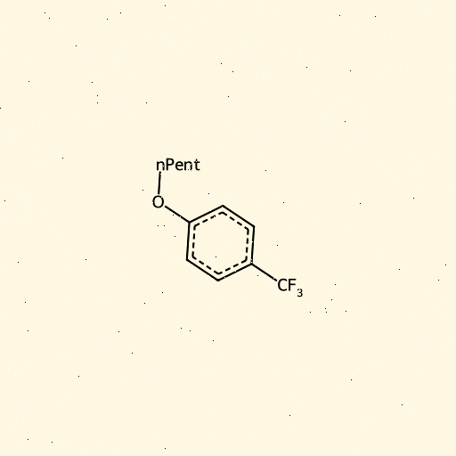 CCCCCOc1ccc(C(F)(F)F)cc1